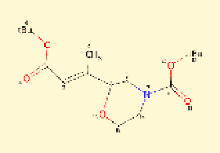 CC(=CC(=O)OC(C)(C)C)C1CN(C(=O)OC(C)(C)C)CCO1